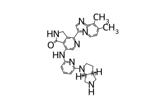 Cc1ccn2c(-c3ncc(Nc4cccc(N5CC[C@@H]6CNC[C@@H]65)n4)c4c3CNC4=O)cnc2c1C